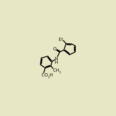 CCc1ccccc1C(=O)Nc1cccc(C(=O)O)c1C